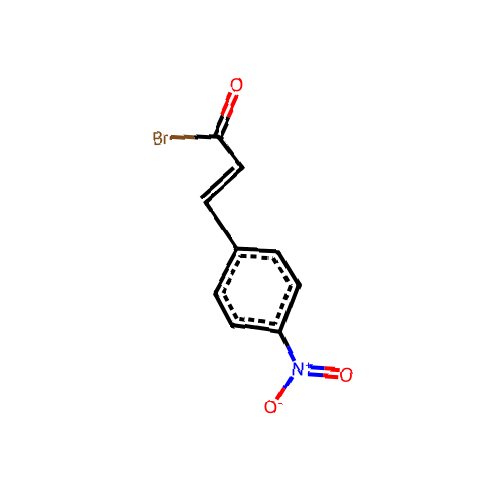 O=C(Br)C=Cc1ccc([N+](=O)[O-])cc1